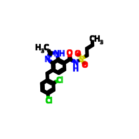 CCCCS(=O)(=O)NC(=O)c1ccc(Cc2ccc(Cl)cc2Cl)c2nc(C)[nH]c12